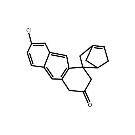 O=C1Cc2cc3ccc(Cl)cc3cc2C2(C1)CC1=CCC2C1